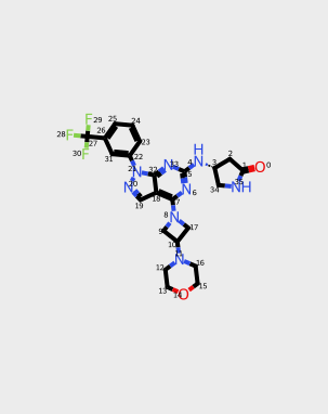 O=C1C[C@@H](Nc2nc(N3CC(N4CCOCC4)C3)c3cnn(-c4cccc(C(F)(F)F)c4)c3n2)CN1